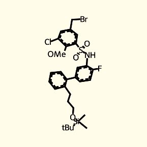 COc1c(Cl)cc(CBr)cc1S(=O)(=O)Nc1cc(-c2ccccc2CCCO[Si](C)(C)C(C)(C)C)ccc1F